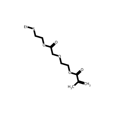 C=C(C)C(=O)OCCOCC(=O)OCCSCC